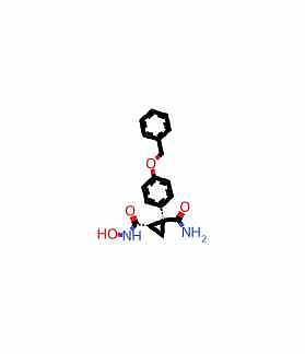 NC(=O)[C@@]1(c2ccc(OCc3ccccc3)cc2)C[C@@H]1C(=O)NO